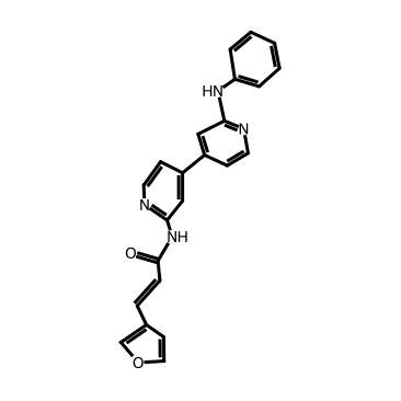 O=C(C=Cc1ccoc1)Nc1cc(-c2ccnc(Nc3ccccc3)c2)ccn1